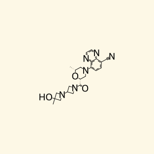 C[C@@H]1CN(c2ccc(C#N)c3nccnc23)C[C@H](C(=O)N2CC(N3CC(C)(O)C3)C2)O1